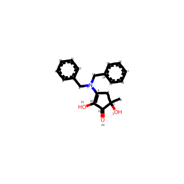 CC1(O)CC(N(Cc2ccccc2)Cc2ccccc2)=C(O)C1=O